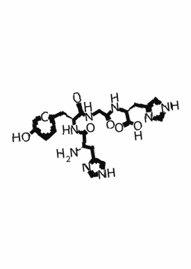 N[C@@H](Cc1c[nH]cn1)C(=O)N[C@@H](Cc1ccc(O)cc1)C(=O)NCC(=O)N[C@@H](Cc1c[nH]cn1)C(=O)O